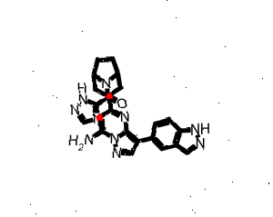 Nc1cc(C2CC3CCC(C2)N3C(=O)c2ncn[nH]2)nc2c(-c3ccc4[nH]ncc4c3)cnn12